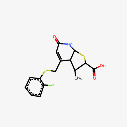 CC1C(C(=O)O)SC2NC(=O)C=C(CSc3ccccc3F)C21